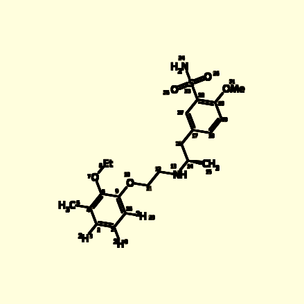 [2H]c1c([2H])c(C)c(OCC)c(OCCN[C@H](C)Cc2ccc(OC)c(S(N)(=O)=O)c2)c1[2H]